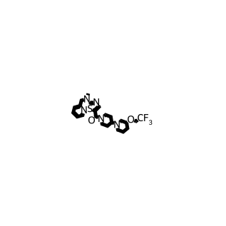 CN(Cc1ccccn1)c1ncc(C(=O)N2CCC(N3CCCC(OCC(F)(F)F)C3)CC2)s1